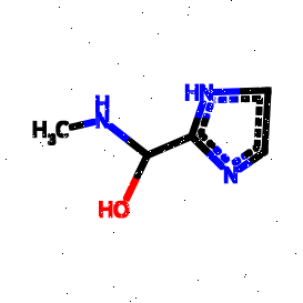 CNC(O)c1ncc[nH]1